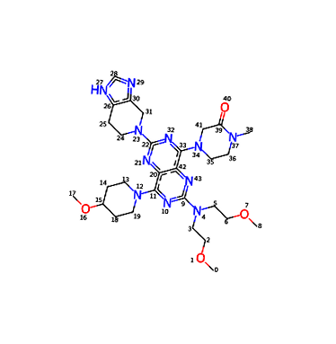 COCCN(CCOC)c1nc(N2CCC(OC)CC2)c2nc(N3CCc4[nH]cnc4C3)nc(N3CCN(C)C(=O)C3)c2n1